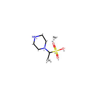 CC(N1CCNCC1)S(=O)(=O)[O-].[Na+]